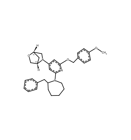 COc1ccc(COc2cc(N3C[C@@H]4C[C@H]3CO4)cc(N3CCCCCC3Cc3ccccc3)n2)cc1